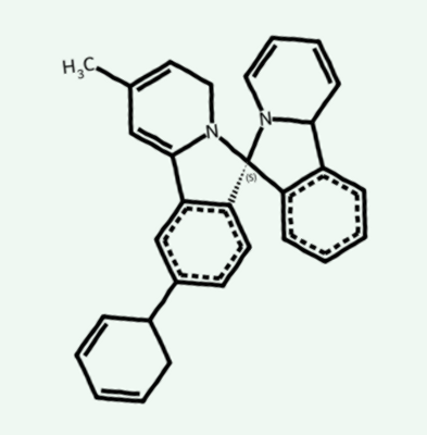 CC1=CCN2C(=C1)c1cc(C3C=CC=CC3)ccc1[C@]21c2ccccc2C2C=CC=CN21